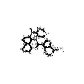 CN(c1ccncn1)c1ccc2cnccc2c1NC(=O)c1csc2c(N)ncnc12